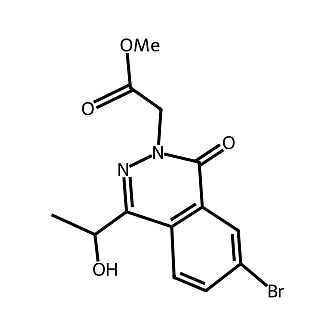 COC(=O)Cn1nc(C(C)O)c2ccc(Br)cc2c1=O